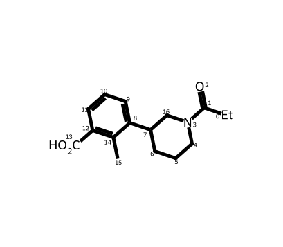 CCC(=O)N1CCCC(c2cccc(C(=O)O)c2C)C1